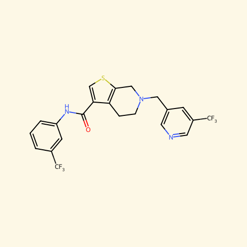 O=C(Nc1cccc(C(F)(F)F)c1)c1csc2c1CCN(Cc1cncc(C(F)(F)F)c1)C2